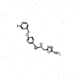 Nc1nnc(CNC2CC2c2ccc(OCc3cccc(F)c3)cc2)o1